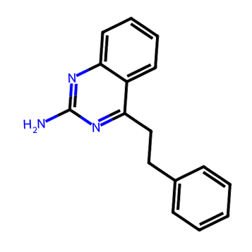 Nc1nc(CCc2ccccc2)c2ccccc2n1